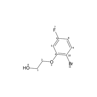 OCCOc1cc(F)ccc1Br